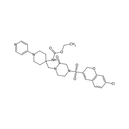 CCOC(=O)NC1(CN2CCN(S(=O)(=O)C3=Cc4ccc(Cl)cc4OC3)CC2=O)CCN(c2ccncc2)CC1